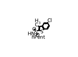 CCCCCNS(=O)(=O)c1sc2ccc(Cl)cc2c1C